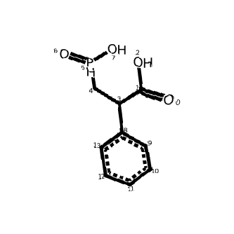 O=C(O)C(C[PH](=O)O)c1ccccc1